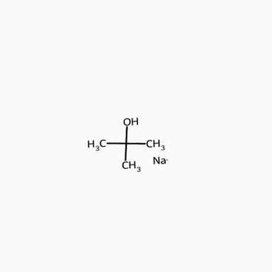 CC(C)(C)O.[Na]